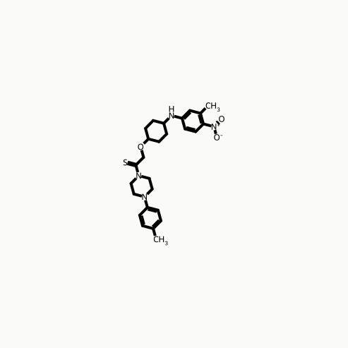 Cc1ccc(N2CCN(C(=S)COC3CCC(Nc4ccc([N+](=O)[O-])c(C)c4)CC3)CC2)cc1